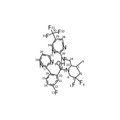 CC1CC(F)(F)CN(C(=O)c2cc(F)ccc2-c2ncccn2)C1CNc1ncc(C(F)(F)F)cn1